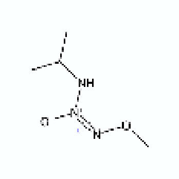 CO/N=[N+](/[O-])NC(C)C